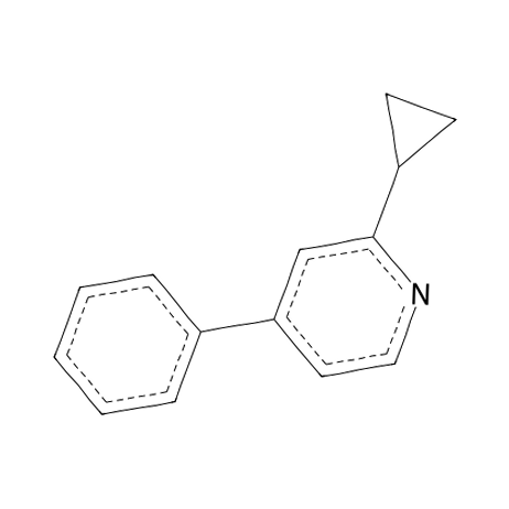 c1ccc(-c2ccnc(C3CC3)c2)cc1